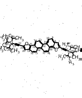 CC(C)[Si](C#Cc1cc2ccc3c4ccc5c(ccc6cc(C#C[Si](C(C)C)(C(C)C)C(C)C)oc65)c4ccc3c2o1)(C(C)C)C(C)C